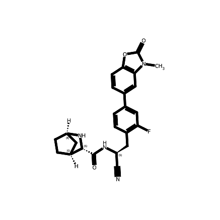 Cn1c(=O)oc2ccc(-c3ccc(C[C@@H](C#N)NC(=O)[C@H]4N[C@@H]5CC[C@H]4C5)c(F)c3)cc21